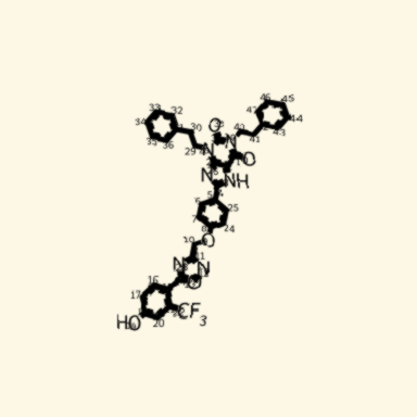 O=c1c2[nH]c(-c3ccc(OCc4noc(-c5ccc(O)cc5C(F)(F)F)n4)cc3)nc2n(CCc2ccccc2)c(=O)n1CCc1ccccc1